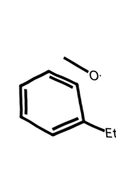 C[O].[CH2]Cc1ccccc1